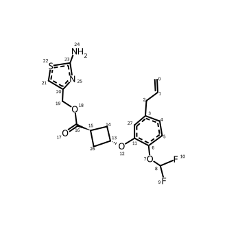 C=CCc1ccc(OC(F)F)c(O[C@H]2C[C@H](C(=O)OCc3csc(N)n3)C2)c1